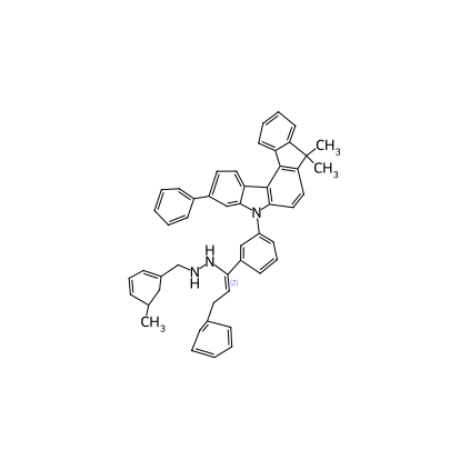 CC1C=CC=C(CNN/C(=C\Cc2ccccc2)c2cccc(-n3c4cc(-c5ccccc5)ccc4c4c5c(ccc43)C(C)(C)c3ccccc3-5)c2)C1